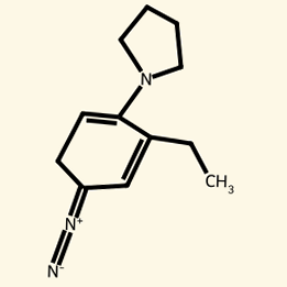 CCC1=CC(=[N+]=[N-])CC=C1N1CCCC1